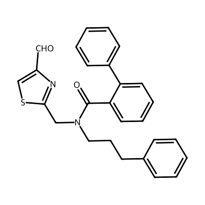 O=Cc1csc(CN(CCCc2ccccc2)C(=O)c2ccccc2-c2ccccc2)n1